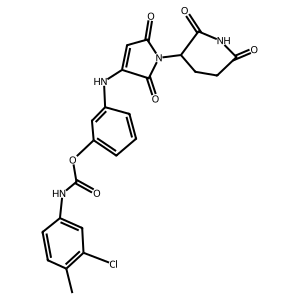 Cc1ccc(NC(=O)Oc2cccc(NC3=CC(=O)N(C4CCC(=O)NC4=O)C3=O)c2)cc1Cl